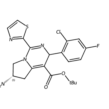 CC(C)(C)OC(=O)C1=C2C[C@H](N)CN2C(c2nccs2)=NC1c1ccc(F)cc1Cl